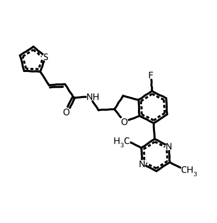 Cc1cnc(C)c(-c2ccc(F)c3c2OC(CNC(=O)C=Cc2cccs2)C3)n1